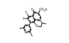 Cc1cc(-c2c(F)c(F)c3c(=O)c(C(=O)O)cn4c3c2OCC4C)cc(C)n1